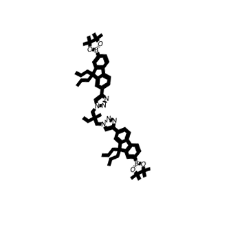 CCCC1(CCC)c2cc(B3OC(C)(C)C(C)(C)O3)ccc2-c2ccc(-c3cn(CC(C)(CC)Cn4cc(-c5ccc6c(c5)C(CCC)(CCC)c5cc(B7OC(C)(C)C(C)(C)O7)ccc5-6)nn4)nn3)cc21